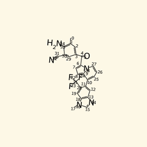 Cc1cc(C(=O)c2ccc3c(-c4cc5ncn(C)c5cc4C(F)(F)F)cccn23)cc(C#N)c1N